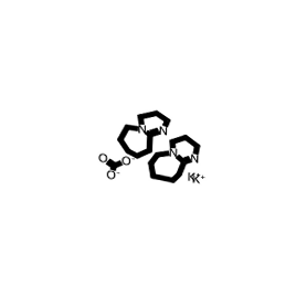 C1CCC2=NCCCN2CC1.C1CCC2=NCCCN2CC1.O=C([O-])[O-].[K+].[K+]